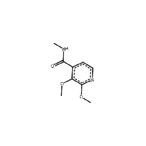 CNC(=O)c1ccnc(OC)c1OC